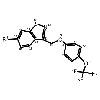 FC(F)(F)Oc1ccc(OCc2nsc3cc(Br)ccc23)cc1